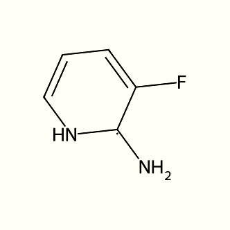 N[C]1NC=CC=C1F